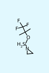 CC(C)(O[SiH2]N1CC1)C(F)(F)F